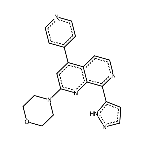 c1cc(-c2cc(N3CCOCC3)nc3c(-c4ccn[nH]4)nccc23)ccn1